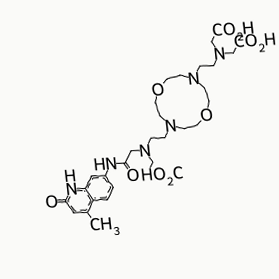 Cc1cc(=O)[nH]c2cc(NC(=O)CN(CCN3CCOCCN(CCN(CC(=O)O)CC(=O)O)CCOCC3)CC(=O)O)ccc12